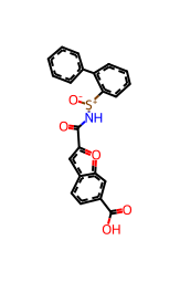 O=C(O)c1ccc2cc(C(=O)N[S+]([O-])c3ccccc3-c3ccccc3)oc2c1